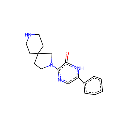 O=c1[nH]c(-c2ccccc2)cnc1N1CCC2(CCNCC2)C1